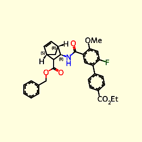 CCOC(=O)c1ccc(-c2cc(C(=O)N[C@H]3C(C(=O)OCc4ccccc4)[C@@H]4C=C[C@H]3C4)c(OC)cc2F)cc1